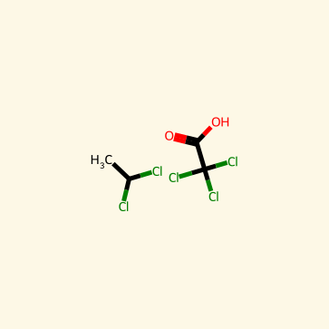 CC(Cl)Cl.O=C(O)C(Cl)(Cl)Cl